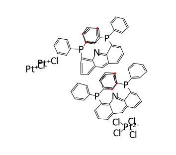 [Cl][Pt+].[Cl][Pt+].[Cl][Pt-2]([Cl])([Cl])[Cl].c1ccc(P(c2ccccc2)c2cccc3cc4cccc(P(c5ccccc5)c5ccccc5)c4nc23)cc1.c1ccc(P(c2ccccc2)c2cccc3cc4cccc(P(c5ccccc5)c5ccccc5)c4nc23)cc1